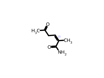 CC(=O)C/C=C(/C)C(N)=O